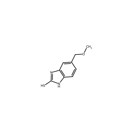 COCc1ccc2[nH]c(S)nc2c1